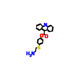 NCCSc1ccc(OC(=O)c2c3ccccc3nc3ccccc23)cc1